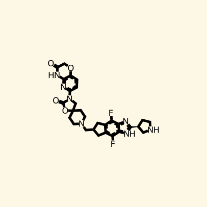 O=C1COc2ccc(N3CC4(CCN(CC5Cc6c(c(F)c7[nH]c([C@H]8CCNC8)nc7c6F)C5)CC4)OC3=O)nc2N1